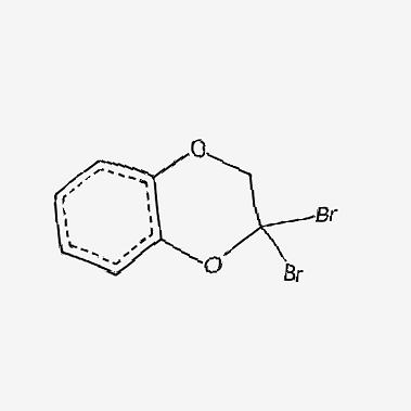 BrC1(Br)COc2ccccc2O1